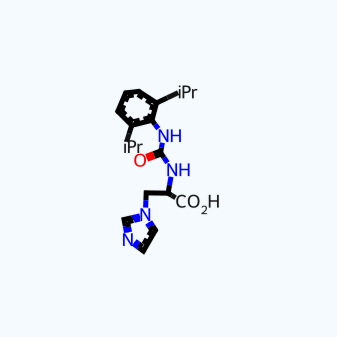 CC(C)c1cccc(C(C)C)c1NC(=O)NC(Cn1ccnc1)C(=O)O